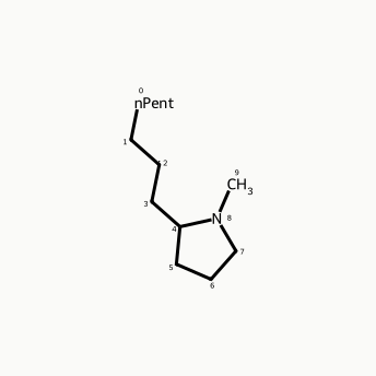 CCCCCC[CH]CC1CCCN1C